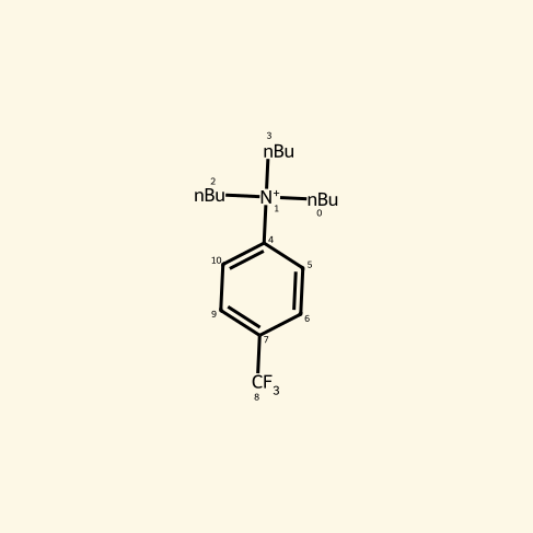 CCCC[N+](CCCC)(CCCC)c1ccc(C(F)(F)F)cc1